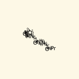 Cc1ccc(NCCCC(=O)N2CCN(C/C=C/C(=O)C(C)C)CC2)c2nonc12